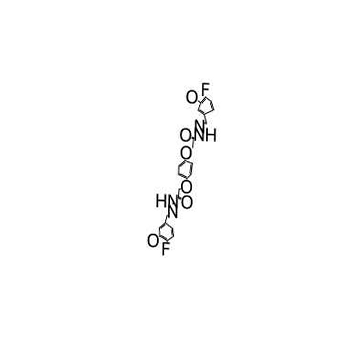 COc1cc(/C=N/NC(=O)COc2ccc(OCC(=O)N/N=C/c3ccc(F)c(OC)c3)cc2)ccc1F